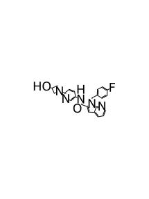 O=C(Nc1ccc(N2CC(O)C2)nc1)c1cc2cccnc2n1Cc1ccc(F)cc1